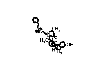 C[C@H]1C[C@H]2O[C@]3(CCC45CC3(C)C4C[C@H]3[C@H]5CCC4=C[C@@H](O)CC[C@@]43C)[C@H](C)[C@@H]2N(CCNS(=O)(=O)CCc2ccccc2)C1